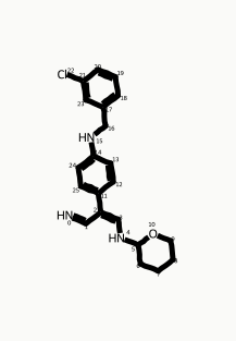 N=C/C(=C\NC1CCCCO1)c1ccc(NCc2cccc(Cl)c2)cc1